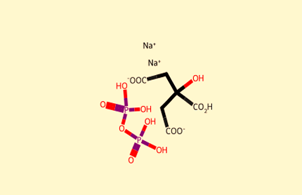 O=C([O-])CC(O)(CC(=O)[O-])C(=O)O.O=P(O)(O)OP(=O)(O)O.[Na+].[Na+]